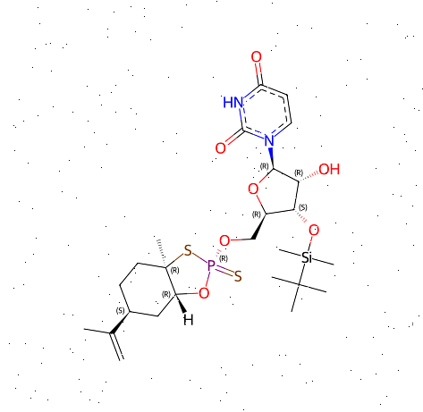 C=C(C)[C@H]1CC[C@@]2(C)S[P@](=S)(OC[C@H]3O[C@@H](n4ccc(=O)[nH]c4=O)[C@H](O)[C@@H]3O[Si](C)(C)C(C)(C)C)O[C@@H]2C1